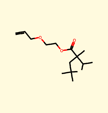 C=CCOCCOC(=O)C(C)(CC(C)(C)C)C(C)C